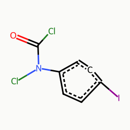 O=C(Cl)N(Cl)c1ccc(I)cc1